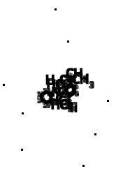 CC(C)(C)c1cccc(C=NC2CCCCC2)c1O.Cl.Cl.[Ti]